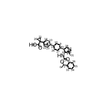 CC(OC(=O)Nc1c(-c2ccc(C34CCC(C5(C(=O)O)CC5)(CC3)CC4)cc2)cnn1C)c1ccccc1